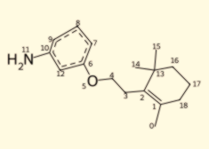 CC1=C(CCOc2cccc(N)c2)C(C)(C)CCC1